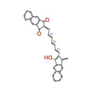 C=C1C(/C=C/C=C/C=C/C=C2C(=O)c3cc4ccccc4cc3C2=O)=C(O)c2cc3ccccc3cc21